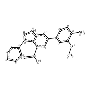 COc1cc(-c2cc(C(=O)O)c3c(-c4ccccc4)n[nH]c3n2)ccc1N